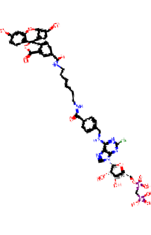 O=C(NCCCCCCNC(=O)c1ccc2c(c1)C(=O)OC21c2ccc(O)cc2Oc2cc(O)ccc21)c1ccc(CNc2nc(Cl)nc3c2ncn3[C@@H]2O[C@H](COP(=O)(O)CP(=O)(O)O)[C@H](O)[C@@H]2O)cc1